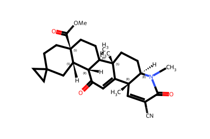 COC(=O)[C@]12CCC3(CC3)C[C@H]1[C@H]1C(=O)C=C3[C@@]4(C)C=C(C#N)C(=O)N(C)[C@@H]4CC[C@@]3(C)[C@]1(C)CC2